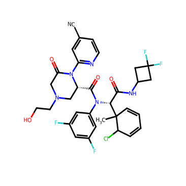 CC1([C@@H](C(=O)NC2CC(F)(F)C2)N(C(=O)[C@@H]2CN(CCO)CC(=O)N2c2cc(C#N)ccn2)c2cc(F)cc(F)c2)C=CC=CC1Cl